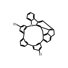 CCc1cc2cc(c1)-c1ccc3c4c1Cc1c-4c(cc4c5ccccc5n(c14)-c1cc(CC)cc(c1)-c1cccc-2c1)C3